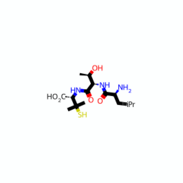 CC(C)C[C@H](N)C(=O)N[C@H](C(=O)N[C@@H](C(=O)O)C(C)(C)S)[C@@H](C)O